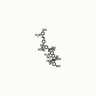 [NH]c1ccc(S(=O)(=O)O)c(/N=N/c2c(S(=O)(=O)O)cc3cc(S(=O)(=O)O)c(/N=N/c4ccc(Nc5ccc(/N=N/c6ccc(O)cc6N)cc5)c(S(=O)(=O)O)c4)c(N)c3c2O)c1